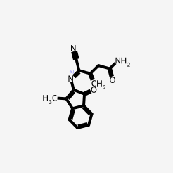 C=C(CC(N)=O)/C(C#N)=N\C1=C(C)c2ccccc2C1=O